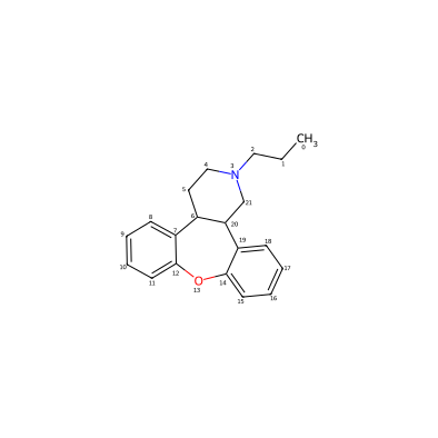 CCCN1CCC2c3ccccc3Oc3ccccc3C2C1